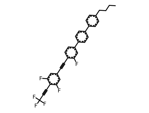 CCCCc1ccc(-c2ccc(-c3ccc(C#Cc4cc(F)c(C#CC(F)(F)F)c(F)c4)c(F)c3)cc2)cc1